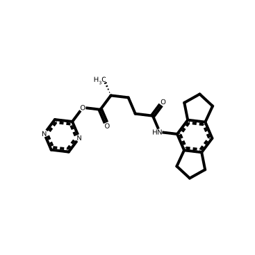 C[C@H](CCC(=O)Nc1c2c(cc3c1CCC3)CCC2)C(=O)Oc1cnccn1